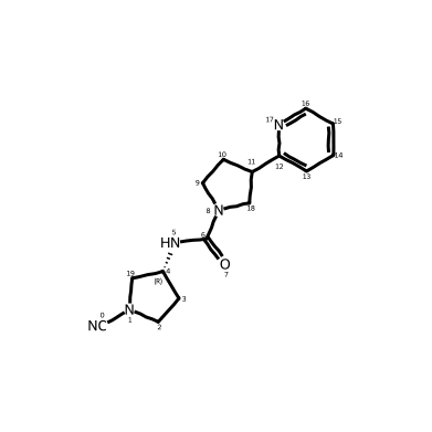 N#CN1CC[C@@H](NC(=O)N2CCC(c3ccccn3)C2)C1